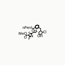 CCCCCC(O)c1cccc(CC2C(Cl)CC(O)[C@@H]2CCCc2nc(F)c(C(=O)OC)s2)c1